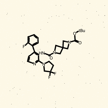 CC(C)(C)OC(=O)N1CC2(CN(C(=O)Nc3c(-c4ccccc4F)ccnc3N3CCC(F)(F)C3)C2)C1